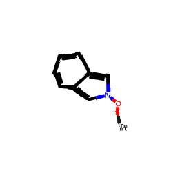 CC(C)On1cc2ccccc2c1